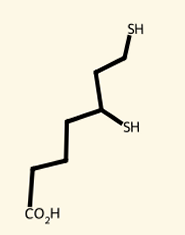 O=C(O)CCCC(S)CCS